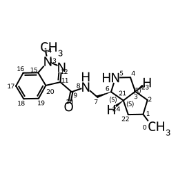 CC1C[C@H]2CN[C@H](CNC(=O)c3nn(C)c4ccccc34)[C@H]2C1